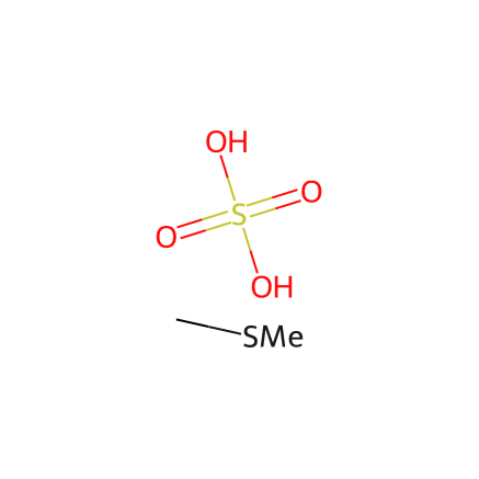 CSC.O=S(=O)(O)O